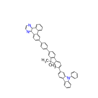 CC1(C)c2cc(-c3ccc(-c4ccc5c(c4)c4ccccc4c4nccnc54)cc3)ccc2-c2ccc(-c3ccc4c5ccccc5n(-c5ccccc5)c4c3)cc21